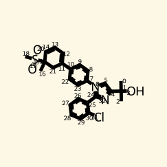 CC(C)(O)c1cn(-c2ccc(C3=CC=CC(C)(S(C)(=O)=O)C3)cc2)c(-c2ccccc2Cl)n1